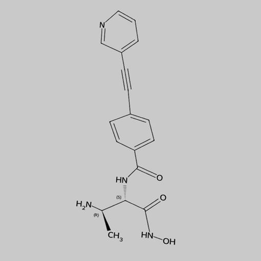 C[C@@H](N)[C@H](NC(=O)c1ccc(C#Cc2cccnc2)cc1)C(=O)NO